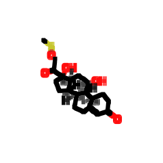 CSOCC(=O)[C@@]1(O)CC[C@H]2[C@@H]3CCC4=CC(=O)CC[C@]4(C)[C@H]3[C@@H](O)C[C@@]21C